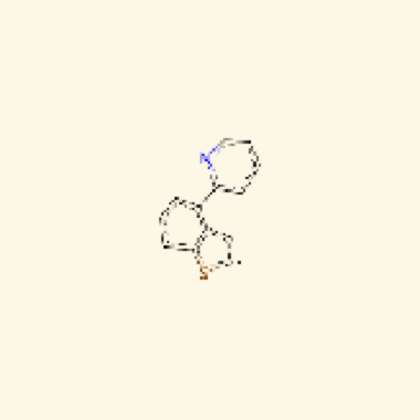 [c]1cc2c(-c3ccccn3)cccc2s1